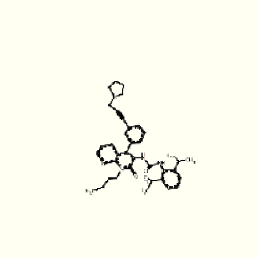 CCCCn1c(=O)c(NC(=O)Nc2c(C(C)C)cccc2C(C)C)c(-c2cccc(C#CCN3CCCC3)c2)c2cccnc21